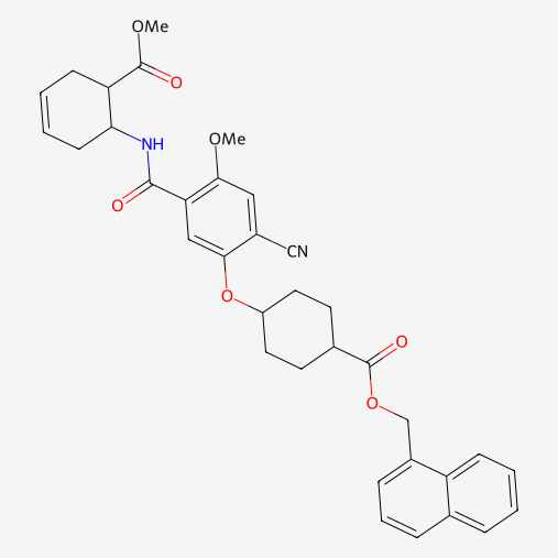 COC(=O)C1CC=CCC1NC(=O)c1cc(OC2CCC(C(=O)OCc3cccc4ccccc34)CC2)c(C#N)cc1OC